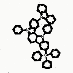 C1=CC2c3cc([Si](c4ccccc4)(c4ccccc4)c4ccccc4)ccc3N(c3ccccc3)C2c2c1n(-c1ccccc1)c1ccc(-n3c4ccccc4c4ccccc43)cc21